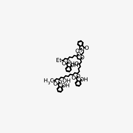 CCC1CC(CCCC2CC(CC(O)CCCC3CC(CCCC(O)CC4C[C@H](C)OC(c5ccccc5O)O4)OC(c4ccccc4O)O3)OC(CN3C(=O)c4ccccc4C3=O)O2)OC(c2ccccc2O)O1